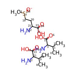 CC(C)C(N)C(=O)O.CC(C)C(N)C(=O)O.C[S+]([O-])CCC(N)C(=O)O